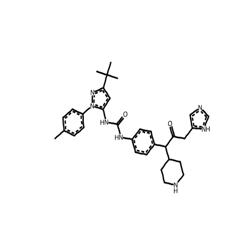 Cc1ccc(-n2nc(C(C)(C)C)cc2NC(=O)Nc2ccc(C(C(=O)Cc3cnc[nH]3)C3CCNCC3)cc2)cc1